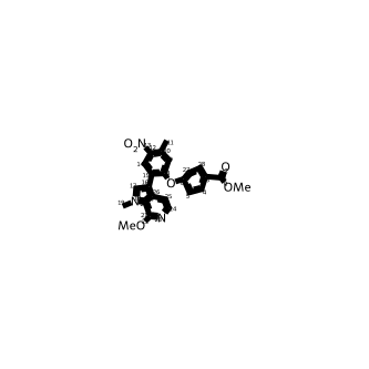 COC(=O)c1ccc(Oc2cc(C)c([N+](=O)[O-])cc2-c2cn(C)c3c(OC)nccc23)cc1